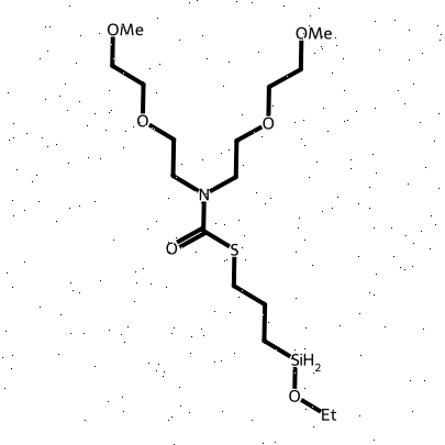 CCO[SiH2]CCCSC(=O)N(CCOCCOC)CCOCCOC